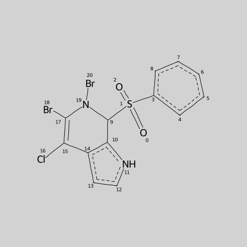 O=S(=O)(c1ccccc1)C1c2[nH]ccc2C(Cl)=C(Br)N1Br